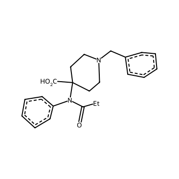 CCC(=O)N(c1ccccc1)C1(C(=O)O)CCN(Cc2ccccc2)CC1